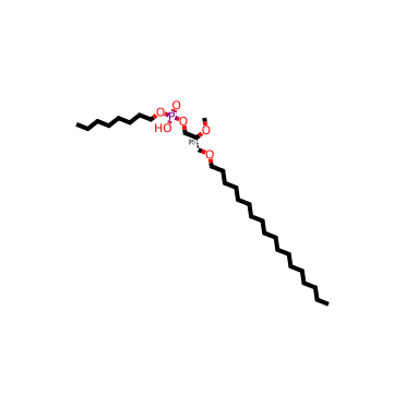 CCCCCCCCCCCCCCCCCCOC[C@H](COP(=O)(O)OCCCCCCCC)OC